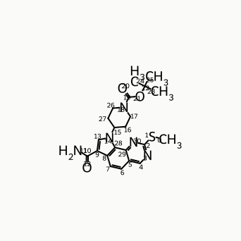 CSc1ncc2ccc3c(C(N)=O)cn(C4CCN(C(=O)OC(C)(C)C)CC4)c3c2n1